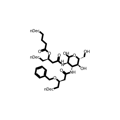 CCCCCCCCCCCCCC(=O)O[C@H](CCCCCCCCCCC)CC(=O)N[C@H]1C(O)O[C@H](CO)[C@@H](O)[C@@H]1NC(=O)C[C@@H](CCCCCCCCCCC)OCc1ccccc1